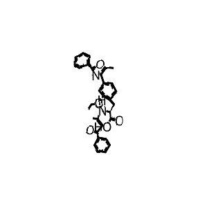 CCOc1cc(-c2nc(-c3ccccc3)oc2C)ccc1C[C@H](NC(C)=CC(=O)c1ccccc1)C(=O)O